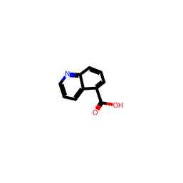 O=C(O)c1cccc2nc[c]cc12